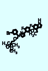 C=Cc1c(Oc2ccc(F)c(-c3ccn(C(COCCC(C)(C)C(=O)OC)c4cccc(Br)c4)n3)c2)c(F)cc2[nH]ccc12